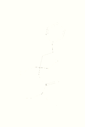 C=C(C)C(=O)OC(CCc1cc[c]cc1)(OCC)OCC